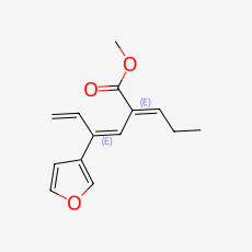 C=C/C(=C\C(=C/CC)C(=O)OC)c1ccoc1